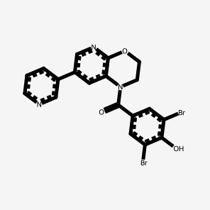 O=C(c1cc(Br)c(O)c(Br)c1)N1CCOc2ncc(-c3cccnc3)cc21